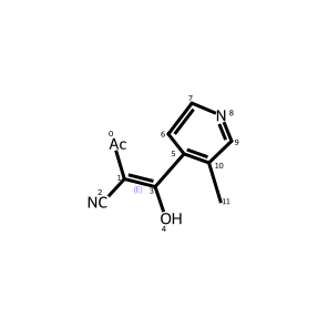 CC(=O)/C(C#N)=C(/O)c1ccncc1C